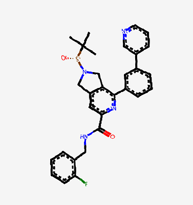 CC(C)(C)[S@@+]([O-])N1Cc2cc(C(=O)NCc3ccccc3F)nc(-c3cccc(-c4cccnc4)c3)c2C1